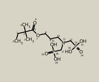 CCC(C)(C)C(=O)OCCCN(CP(=O)(O)O)CP(=O)(O)O